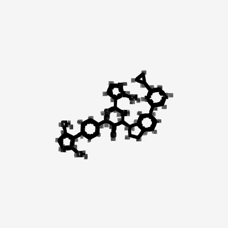 Cc1cnn(C)c1-c1ccc(NC(=O)C(NC(=O)c2ccnn2C)[C@@H]2CCc3ccc(-c4cncc(C5CC5)n4)cc32)cc1